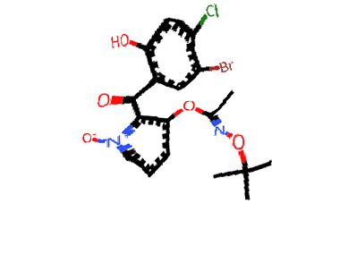 CC(=NOC(C)(C)C)Oc1ccc[n+]([O-])c1C(=O)c1cc(Br)c(Cl)cc1O